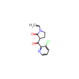 C=CN1CCC(C(=O)c2ncccc2Cl)C1=O